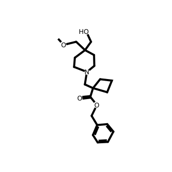 COCC1(CO)CCN(CC2(C(=O)OCc3ccccc3)CCC2)CC1